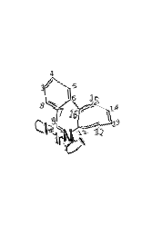 [Cl][Ir+][Cl].c1ccc2c(c1)cnc1ccccc12